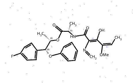 C=N/C(C(=O)N[C@@H](C)C(=O)O[C@@H](C)[C@H](Oc1ccccc1)c1ccc(F)cc1)=C(O)\C(=C/C)OC